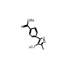 COC(=O)c1ccc(-c2onc(C)c2C(=O)O)cc1